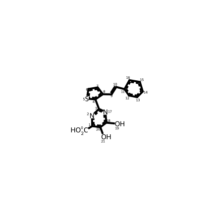 O=C(O)c1nc(-c2sccc2/C=C/c2ccccc2)nc(O)c1O